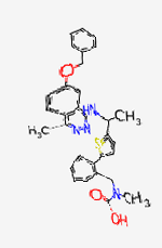 Cc1nnc(NC(C)c2ccc(-c3ccccc3CN(C)C(=O)O)s2)c2cc(OCc3ccccc3)ccc12